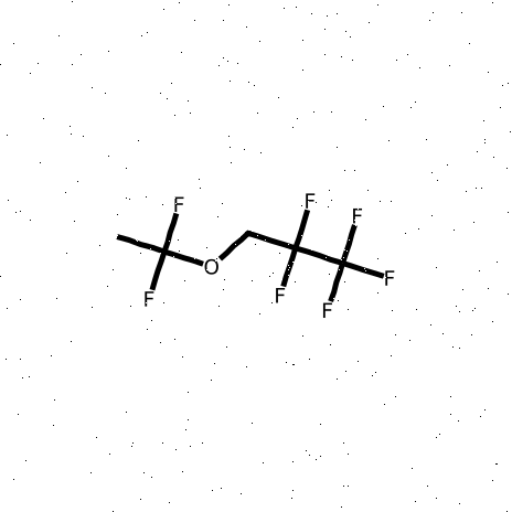 CC(F)(F)OCC(F)(F)C(F)(F)F